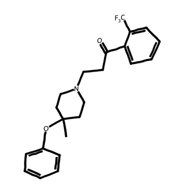 CC1(Oc2ccccc2)CCN(CCC(=O)c2ccccc2C(F)(F)F)CC1